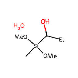 CCC(O)[Si](C)(OC)OC.O